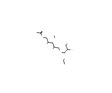 CCO[C@@H](OCC(O)[C@@H](OC)C(O)CNC(C)=O)C(O)CO